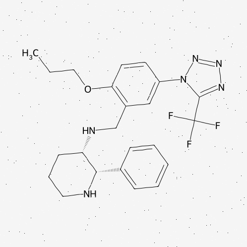 CCCOc1ccc(-n2nnnc2C(F)(F)F)cc1CN[C@H]1CCCN[C@H]1c1ccccc1